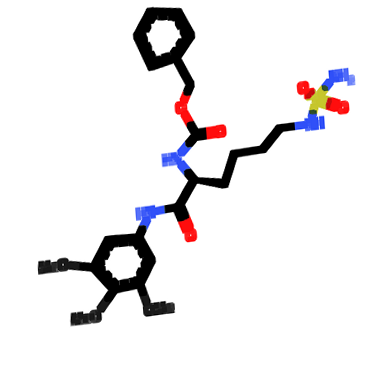 COc1cc(NC(=O)[C@H](CCCCNS(N)(=O)=O)NC(=O)OCc2ccccc2)cc(OC)c1OC